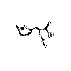 Cn1ccc(C=C(N=[N+]=[N-])C(=O)O)n1